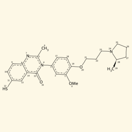 COc1cc(-n2c(C)nc3ccc(S)cc3c2=O)ccc1OCCCN1CCC[C@H]1C